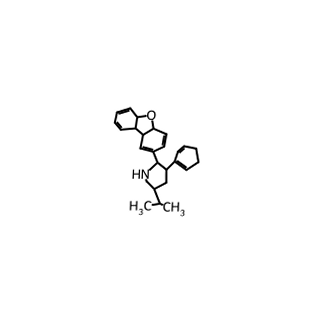 CC(C)C1CNC(C2=CC3C(C=C2)OC2C=CC=CC23)C(C2=CCCC=C2)C1